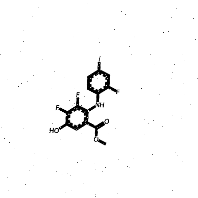 COC(=O)c1cc(O)c(F)c(F)c1Nc1ccc(I)cc1F